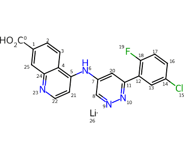 O=C(O)c1ccc2c(Nc3cnnc(-c4cc(Cl)ccc4F)c3)ccnc2c1.[Li]